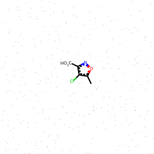 Cc1onc(C(=O)O)c1Cl